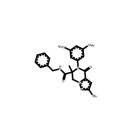 COc1cc(OC)cc(N2C(=O)c3cc(C(C)(C)C)nn3CC2(C)C(=O)NCc2ccccc2)c1